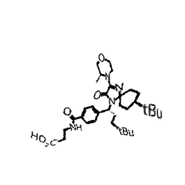 C[C@H]1COCCN1C1=NC2(CCC(C(C)(C)C)CC2)N([C@H](CCC(C)(C)C)c2ccc(C(=O)NCCC(=O)O)cc2)C1=O